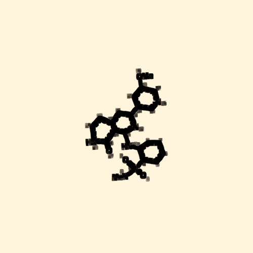 CNS(=O)(=O)c1ccccc1Nc1nc(-c2cncc(OC)c2)cc2cc[nH]c(=O)c12